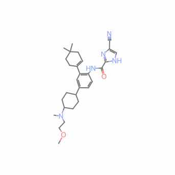 COCCN(C)C1CCC(c2ccc(NC(=O)c3nc(C#N)c[nH]3)c(C3=CCC(C)(C)CC3)c2)CC1